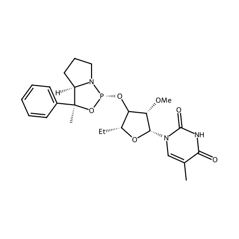 CC[C@H]1O[C@@H](n2cc(C)c(=O)[nH]c2=O)[C@@H](OC)C1O[P@]1O[C@@](C)(c2ccccc2)[C@H]2CCCN21